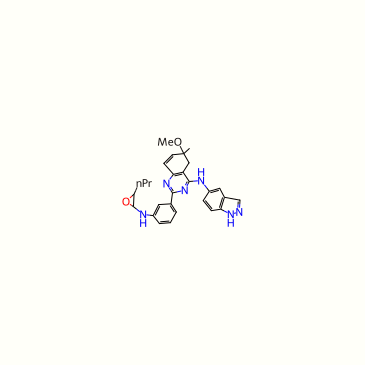 CCCC1OC1Nc1cccc(-c2nc3c(c(Nc4ccc5[nH]ncc5c4)n2)CC(C)(OC)C=C3)c1